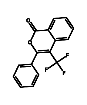 O=c1oc(-c2ccccc2)c(C(F)(F)F)c2ccccc12